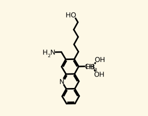 Cc1c(CCCCCO)c(CN)cc2nc3ccccc3cc12.OBO